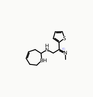 C/N=C(\CNC1BCCC=CC1)c1cccs1